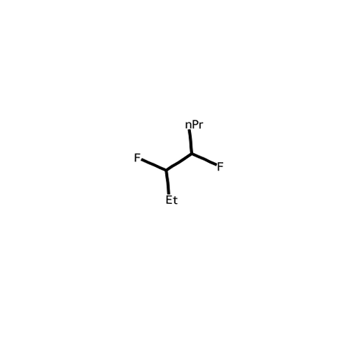 [CH2]CC(F)C(F)CCC